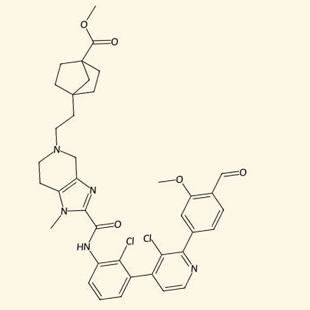 COC(=O)C12CCC(CCN3CCc4c(nc(C(=O)Nc5cccc(-c6ccnc(-c7ccc(C=O)c(OC)c7)c6Cl)c5Cl)n4C)C3)(CC1)C2